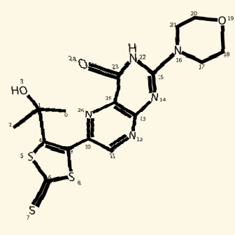 CC(C)(O)c1sc(=S)sc1-c1cnc2nc(N3CCOCC3)[nH]c(=O)c2n1